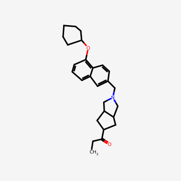 CCC(=O)C1CC2CN(Cc3ccc4c(OC5CCCCC5)cccc4c3)CC2C1